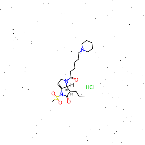 CCC[C@H]1C(=O)N(S(C)(=O)=O)C2=CCN(C(=O)CCCCCN3CCCCC3)[C@@H]21.Cl